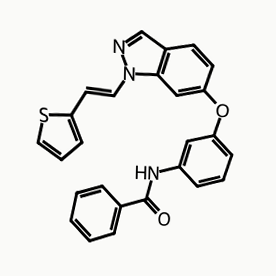 O=C(Nc1cccc(Oc2ccc3cnn(C=Cc4cccs4)c3c2)c1)c1ccccc1